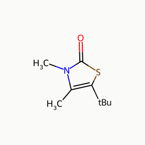 Cc1c(C(C)(C)C)sc(=O)n1C